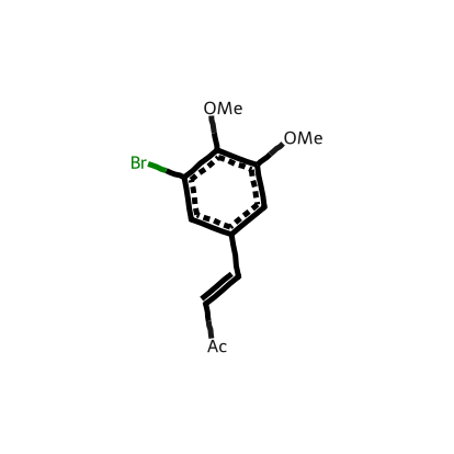 COc1cc(C=CC(C)=O)cc(Br)c1OC